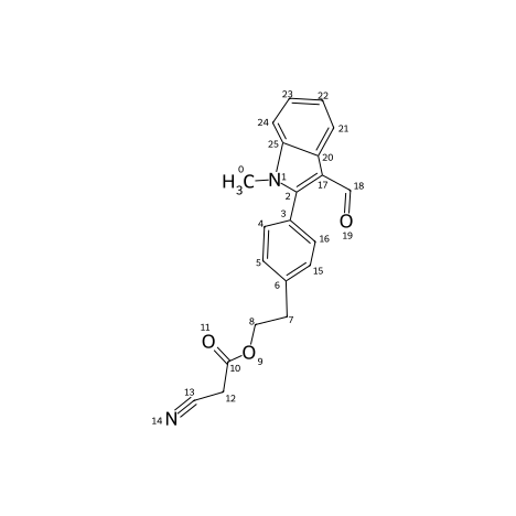 Cn1c(-c2ccc(CCOC(=O)CC#N)cc2)c(C=O)c2ccccc21